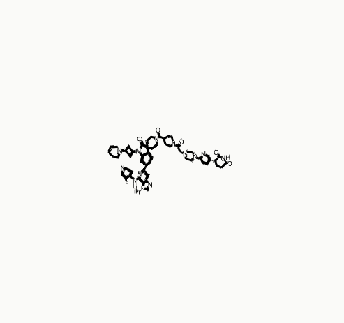 CC(C)n1cnc2cc(-c3ccc4c(c3)N(C3CC(N5CCCCC5)C3)C(=O)C43CCN(C(=O)C4CCN(C(=O)CN5CCN(c6ccc([C@H]7CCC(=O)NC7=O)cn6)CC5)CC4)CC3)nc(Nc3ccncc3F)c21